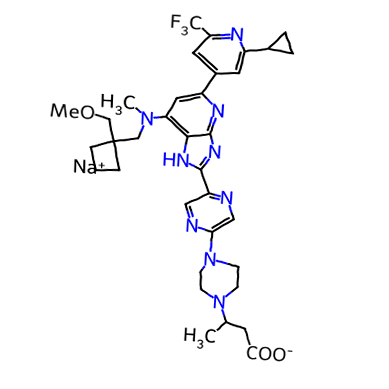 COCC1(CN(C)c2cc(-c3cc(C4CC4)nc(C(F)(F)F)c3)nc3nc(-c4cnc(N5CCN(C(C)CC(=O)[O-])CC5)cn4)[nH]c23)CCC1.[Na+]